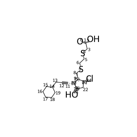 O=C(O)CSCCSC[C@@H]1[C@@H](C#CCC2CCCCC2)[C@H](O)C[C@H]1Cl